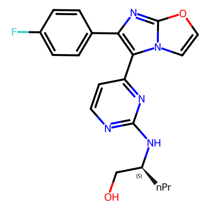 CCC[C@@H](CO)Nc1nccc(-c2c(-c3ccc(F)cc3)nc3occn23)n1